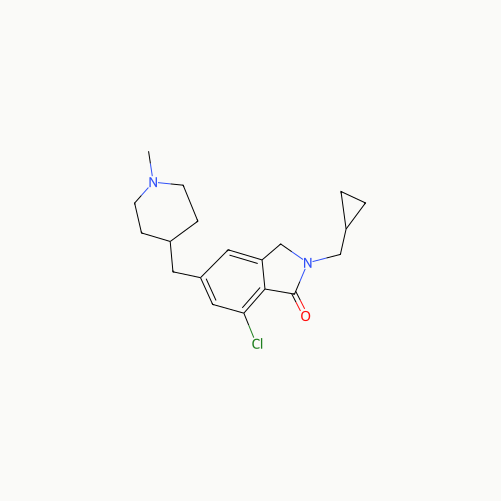 CN1CCC(Cc2cc(Cl)c3c(c2)CN(CC2CC2)C3=O)CC1